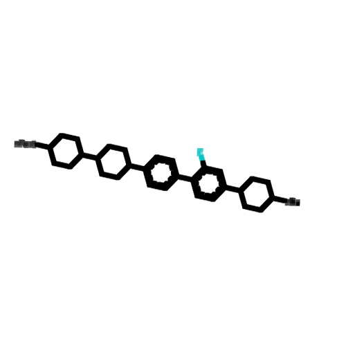 CCCCCC1CCC(C2CCC(c3ccc(-c4ccc(C5CCC(CCCC)CC5)cc4F)cc3)CC2)CC1